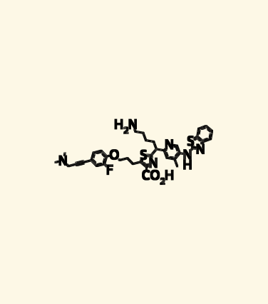 Cc1cc(C(CCCCN)c2nc(C(=O)O)c(CCCOc3ccc(C#CCN(C)C)cc3F)s2)ncc1Nc1nc2ccccc2s1